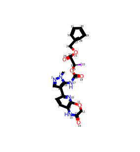 Cn1ncc(-c2ccc3c(n2)OCC(=O)N3)c1NC(=O)O[C@H](I)C(=O)OCc1ccccc1